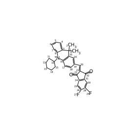 CC1(C)c2ccccc2N(C2CCCCC2)c2ccc(C=C3C(=O)c4cc(F)c(F)cc4C3=O)cc21